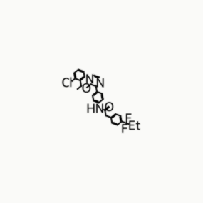 CCC(F)(F)c1ccc(CC(=O)Nc2ccc(-c3nccnc3OC(C)c3ccccc3Cl)cc2)cc1